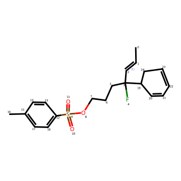 C/C=C/C(F)(CCCOS(=O)(=O)c1ccc(C)cc1)C1C=CC=CC1